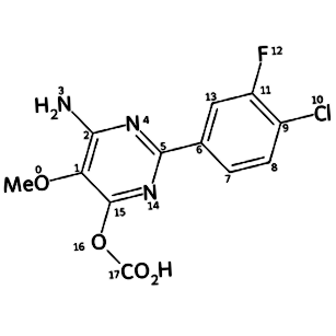 COc1c(N)nc(-c2ccc(Cl)c(F)c2)nc1OC(=O)O